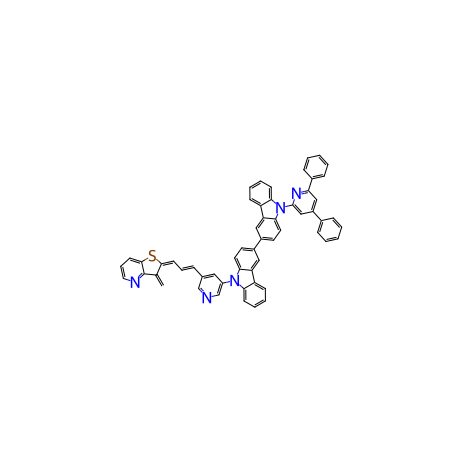 C=c1/c(=C\C=C\c2cncc(-n3c4ccccc4c4cc(-c5ccc6c(c5)c5ccccc5n6-c5cc(-c6ccccc6)cc(-c6ccccc6)n5)ccc43)c2)sc2cccnc12